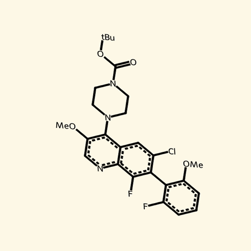 COc1cccc(F)c1-c1c(Cl)cc2c(N3CCN(C(=O)OC(C)(C)C)CC3)c(OC)cnc2c1F